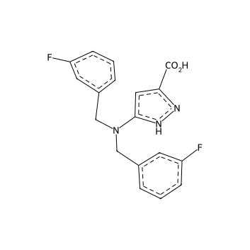 O=C(O)c1cc(N(Cc2cccc(F)c2)Cc2cccc(F)c2)[nH]n1